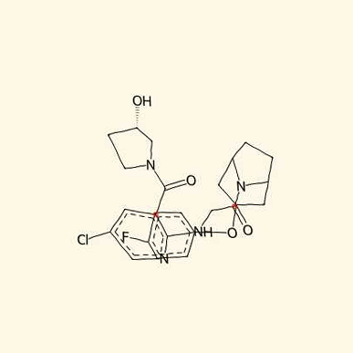 O=C(c1cc(Cl)cnc1NCC(=O)N1C2CCC1CC(Oc1ccc(F)cc1)C2)N1CC[C@H](O)C1